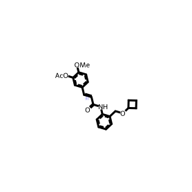 COc1ccc(/C=C/C(=O)Nc2ccccc2COC2CCC2)cc1OC(C)=O